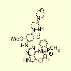 COc1cc2c(cc1Nc1nc(Nc3ccccc3P(C)(C)=O)c3c(Cl)c[nH]c3n1)OC[C@@H]1C[C@H](N3CCOCC3)CCN21